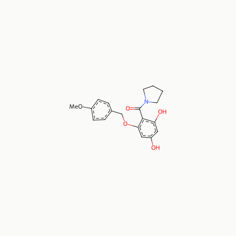 COc1ccc(COc2cc(O)cc(O)c2C(=O)N2CCCC2)cc1